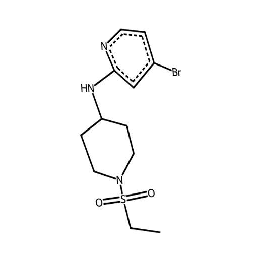 CCS(=O)(=O)N1CCC(Nc2cc(Br)ccn2)CC1